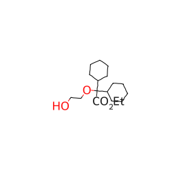 CCOC(=O)C(OCCO)(C1CCCCC1)C1CCCCC1